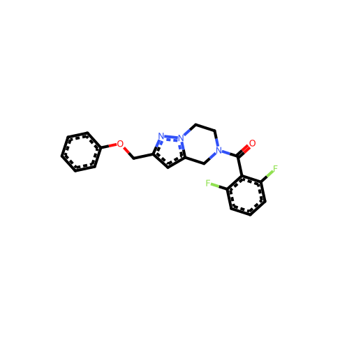 O=C(c1c(F)cccc1F)N1CCn2nc(COc3ccccc3)cc2C1